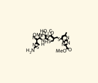 CO/N=C(\C(=O)N[C@@H]1C(=O)N2C(OC(=O)O)=C(CSc3cc(C)nc4nc(C(=O)OC)nn34)CS[C@H]12)c1csc(N)n1